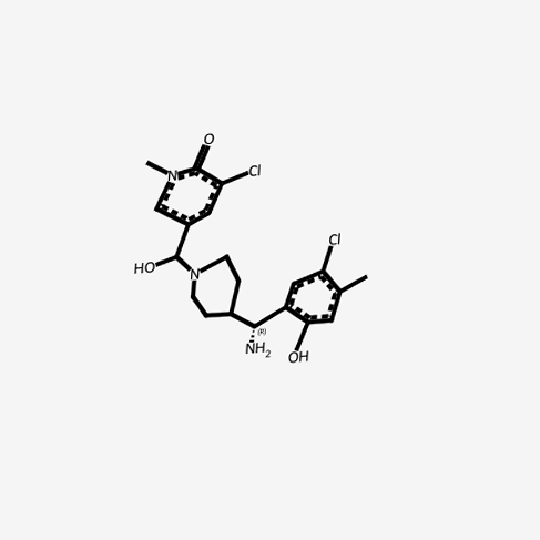 Cc1cc(O)c([C@H](N)C2CCN(C(O)c3cc(Cl)c(=O)n(C)c3)CC2)cc1Cl